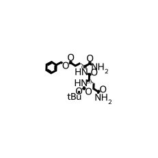 CC(C)(C)OC(=O)N[C@@H](CCC(N)=O)C(=O)N[C@H](CCC(=O)OCc1ccccc1)C(N)=O